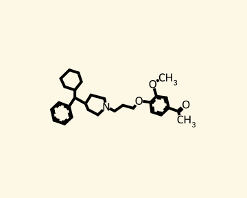 COc1cc(C(C)=O)ccc1OCCCN1CCC(C(c2ccccc2)C2CCCCC2)CC1